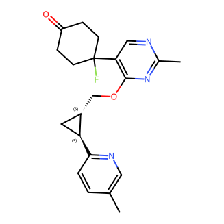 Cc1ccc([C@H]2C[C@@H]2COc2nc(C)ncc2C2(F)CCC(=O)CC2)nc1